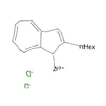 CCCCCCC1=Cc2ccccc2[CH]1[Zr+2].[Cl-].[Cl-]